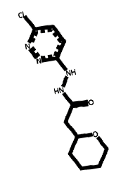 O=C(CC1CCCCO1)NNc1ccc(Cl)nn1